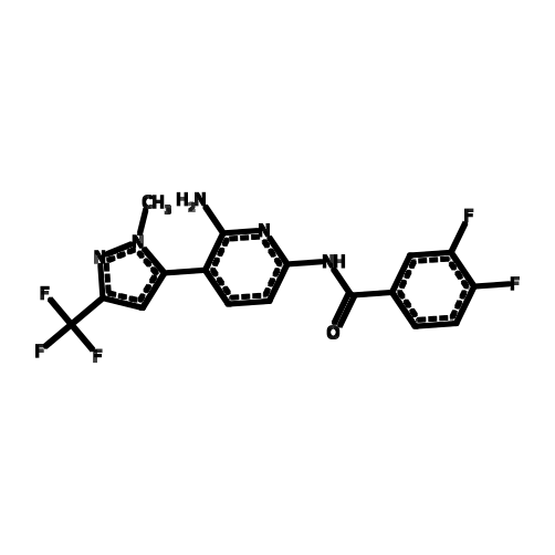 Cn1nc(C(F)(F)F)cc1-c1ccc(NC(=O)c2ccc(F)c(F)c2)nc1N